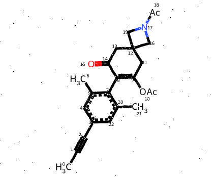 CC#Cc1cc(C)c(C2=C(OC(C)=O)CC3(CC2=O)CN(C(C)=O)C3)c(C)c1